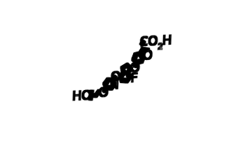 CC(C)(O)CCOc1ccc(Oc2ccc(F)c3c2CC[C@H]3Oc2ccc3c(c2)OC[C@H]3CC(=O)O)nc1